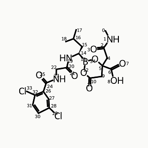 CNC(=O)CC1(C(=O)O)CC(=O)OB([C@H](CC(C)C)NC(=O)CNC(=O)c2cc(Cl)ccc2Cl)O1